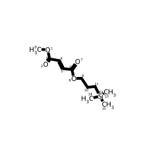 COC(=O)/C=C/C(=O)OCCC[Si](C)(C)C